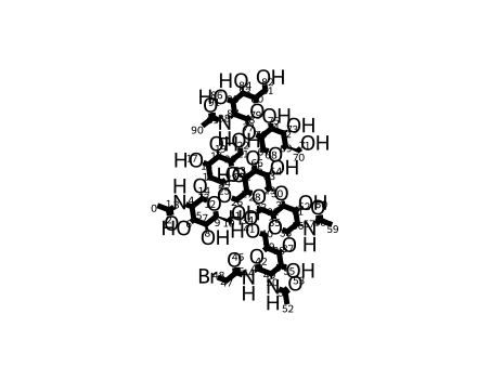 CC(=O)NC1C(O)[C@H](O)[C@H](CO)O[C@H]1O[C@@H]1C(O)[C@H](O)C(CO)O[C@@H]1OCC1O[C@@H](O[C@@H]2C(CO)O[C@@H](O[C@@H]3C(CO)O[C@@H](NC(=O)CBr)[C@@H](NC(C)=O)C3O)[C@@H](NC(C)=O)C2O)[C@H](O)C(O[C@H]2O[C@H](CO)[C@@H](O)C(O)C2O[C@@H]2OC(CO)[C@@H](O)C(O)[C@@H]2NC(C)=O)[C@@H]1O